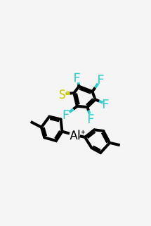 Cc1cc[c]([Al+][c]2ccc(C)cc2)cc1.Fc1c(F)c(F)c([S-])c(F)c1F